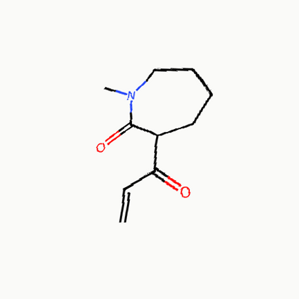 C=CC(=O)C1CCCCN(C)C1=O